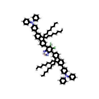 CCCCCCCCC1(CCCCCCCC)c2cc(-c3ccc(N(c4ccccc4)c4ccccc4)cc3)ccc2-c2ccc(-c3c(F)c(F)c(-c4ccc5c(c4)C(CCCCCCCC)(CCCCCCCC)c4cc(-c6ccc(N(c7ccccc7)c7ccccc7)cc6)ccc4-5)c4nsnc34)cc21